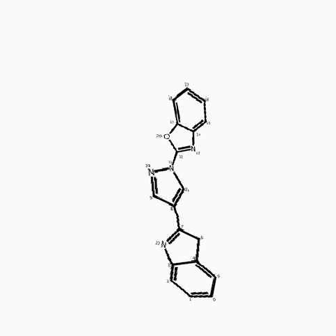 c1ccc2c(c1)CC(c1cnn(-c3nc4ccccc4o3)c1)=N2